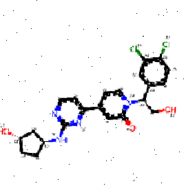 O=c1cc(-c2ccnc(N[C@H]3CC[C@H](O)C3)n2)ccn1[C@H](CO)c1ccc(Cl)c(Cl)c1